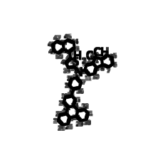 CC1(C)c2ccccc2-c2ccc(N(c3ccc(-c4ccc5c6ccccc6c6ccccc6c5c4)cc3)c3ccc(-c4cccc5ccccc45)s3)cc21